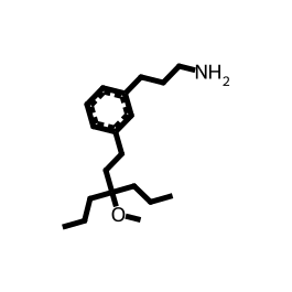 CCCC(CCC)(CCc1cccc(CCCN)c1)OC